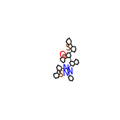 c1ccc(-c2nc(-c3cc(-c4cc(-c5cccc6c5sc5ccccc56)cc5oc6ccccc6c45)c4ccccc4c3)nc(-c3cccc4c3sc3ccccc34)n2)cc1